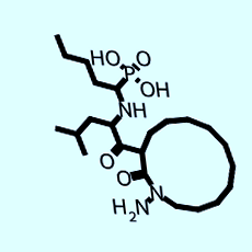 CCCCC(NC(CC(C)C)C(=O)C1CCCCCCCCCCN(N)C1=O)P(=O)(O)O